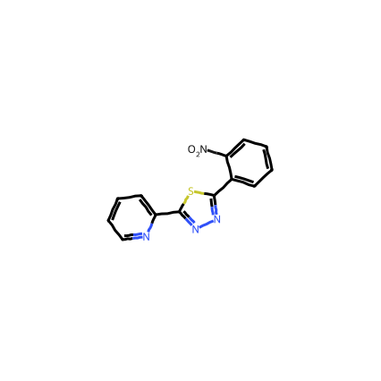 O=[N+]([O-])c1ccccc1-c1nnc(-c2ccccn2)s1